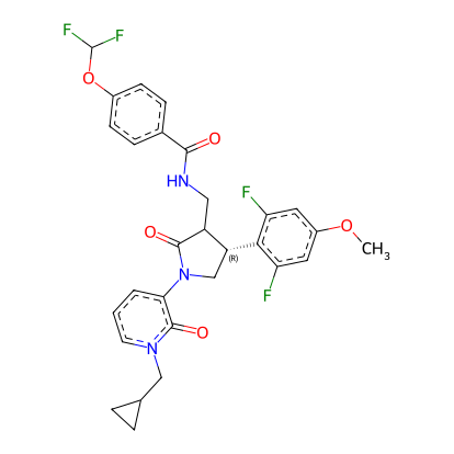 COc1cc(F)c([C@@H]2CN(c3cccn(CC4CC4)c3=O)C(=O)C2CNC(=O)c2ccc(OC(F)F)cc2)c(F)c1